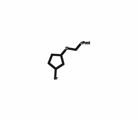 CCCCCCOC1CCC(Br)C1